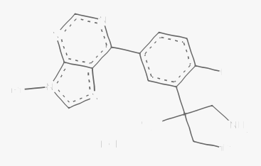 CCOC(=O)C(CN)(CC(C)C)c1cc(-c2ncnc3c2ncn3C(C)C)ccc1F.Cl